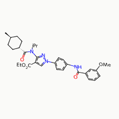 CCOC(=O)c1cn(-c2ccc(NC(=O)c3cccc(OC)c3)cc2)nc1N(C(=O)[C@H]1CC[C@H](C)CC1)C(C)C